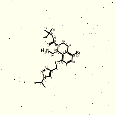 CC(C)n1cc(COc2ccc(Br)c3c2[C@@H](CN)N(C(=O)OC(C)(C)C)CC3)nn1